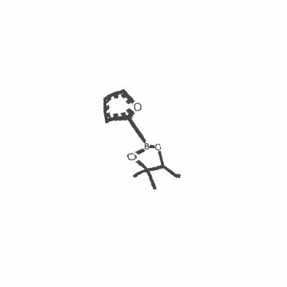 CC1OB(c2ccco2)OC1(C)C